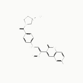 CO[C@@H]1CCN(C(=O)c2ccc(N/C=C(\N=N)c3cc4cc(Cl)ccc4[nH]c3=O)cc2)C1